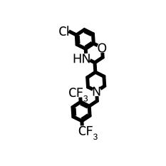 FC(F)(F)c1ccc(C(F)(F)F)c(CN2CCC(C3COc4ccc(Cl)cc4N3)CC2)c1